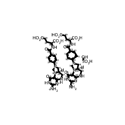 Nc1nc2c(c(=O)[nH]1)N1CN(c3ccc(C(=O)N[C@@H](CCC(=O)O)C(=O)O)cc3)C[C@H]1CN2.Nc1nc2c(c(=O)[nH]1)N1CN(c3ccc(C(=O)N[C@@H](CCC(=O)O)C(=O)O)cc3)C[C@H]1CN2.O=S(=O)(O)O